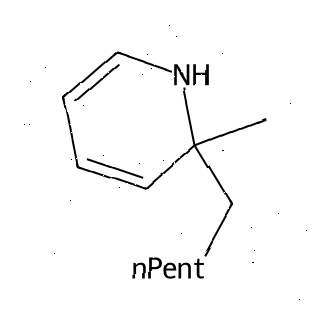 CCCCCCC1(C)C=CC=CN1